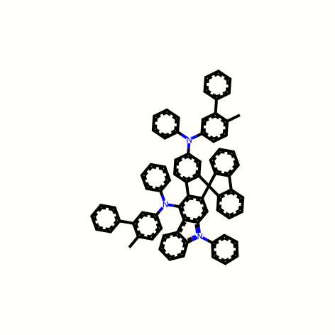 Cc1ccc(N(c2ccccc2)c2ccc3c(c2)C2(c4ccccc4-c4ccccc42)c2cc4c(c(N(c5ccccc5)c5ccc(C)c(-c6ccccc6)c5)c2-3)c2ccccc2n4-c2ccccc2)cc1-c1ccccc1